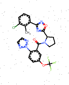 Cc1c(Cl)cccc1-c1noc(C2CCCN2C(=O)c2cc(OC(F)(F)F)ccc2-n2nccn2)n1